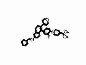 COC(OC)C1CCN(c2ccc(C3=C(C4=CCOCC4)CCc4cc(OCc5ccccc5)ccc43)cc2F)CC1